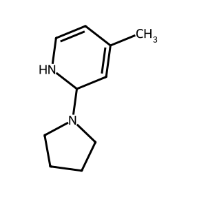 CC1=CC(N2CCCC2)NC=C1